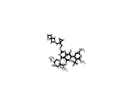 CC[C@@H]1CN2c3nc(OCC4(CN5CC6(CCO6)C5)CC4)nc4c(F)c(-c5cc(N)nc(C)c5C(F)(F)F)nc(c34)O[C@@H](C)[C@@H]2CN1